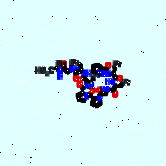 CC[C@H](C)[C@H](NC(=O)CNC(=O)[C@H](CC(C)C)NC(=O)[C@H](CC(C)C)NC(=O)[C@@H]1CCCN1C(=O)[C@@H]1CCCN1C(=O)CNC(=O)[C@H](CC(C)C)NC(=O)[C@H](CC(C)C)NC(=O)[C@@H]1CCCN1)C(=O)O